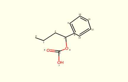 CCCC(OC(=O)O)c1ccccc1